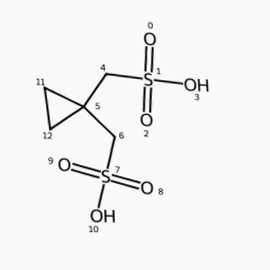 O=S(=O)(O)CC1(CS(=O)(=O)O)CC1